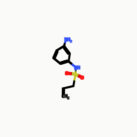 C=CCS(=O)(=O)Nc1cccc(N)c1